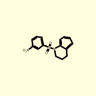 O=[N+]([O-])c1cccc(S(=O)(=O)N2CCCc3ccccc32)c1